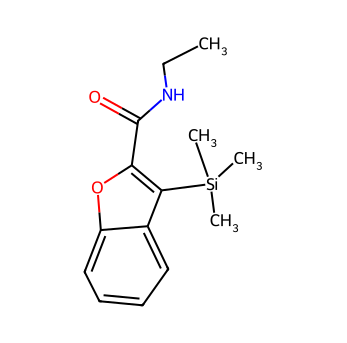 CCNC(=O)c1oc2ccccc2c1[Si](C)(C)C